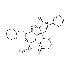 CC(C)C[C@H](C(=O)NN)[C@@H](C(=O)NOC1CCCCO1)C(/C=C/c1ccccc1)(C(=O)[C@@H](C)N)C1CC(=S)CCO1